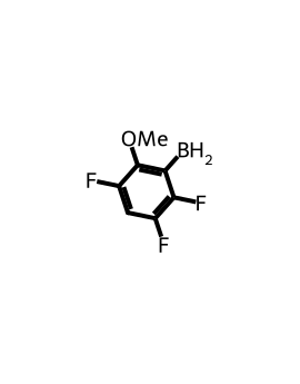 Bc1c(F)c(F)cc(F)c1OC